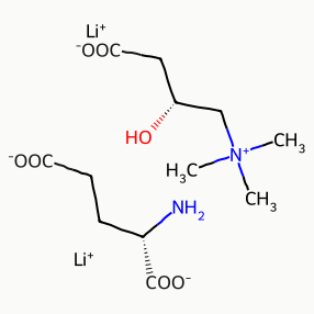 C[N+](C)(C)C[C@H](O)CC(=O)[O-].N[C@@H](CCC(=O)[O-])C(=O)[O-].[Li+].[Li+]